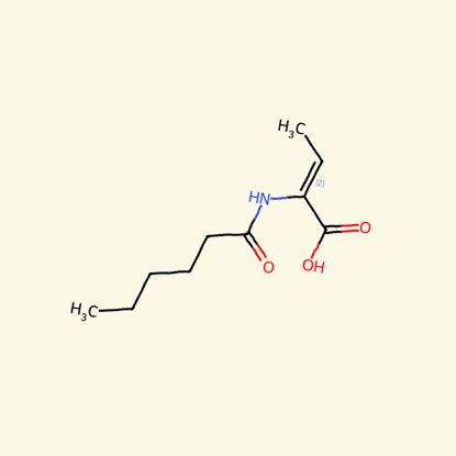 C/C=C(\NC(=O)CCCCC)C(=O)O